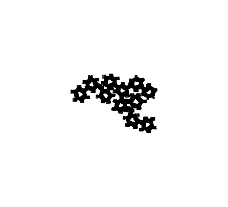 C1=CCCC(c2cccc(-c3cc(-c4cccc5c4c4c(n5-c5cccc(-c6ccccc6)c5)C=CCC4)cc(-c4cccc5c4c4ccccc4n5-c4cccc(-c5ccccc5)c4)c3)c2)=C1